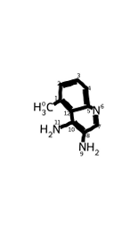 Cc1cccc2ncc(N)c(N)c12